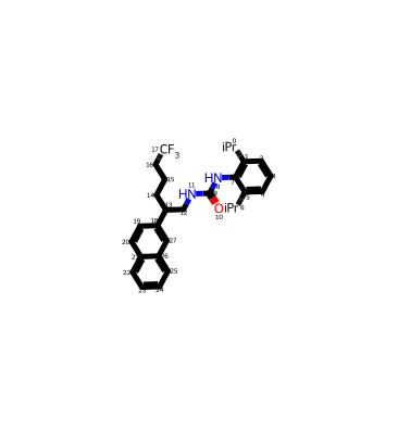 CC(C)c1cccc(C(C)C)c1NC(=O)NCC(CCCC(F)(F)F)c1ccc2ccccc2c1